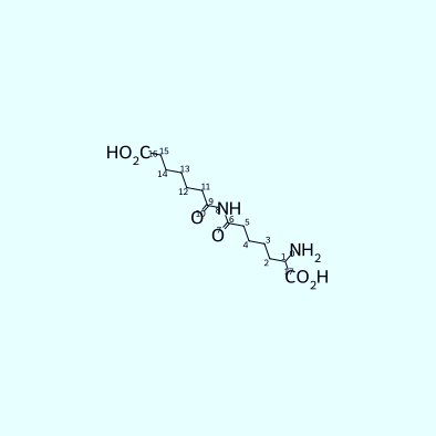 NC(CCCCC(=O)NC(=O)CCCCCC(=O)O)C(=O)O